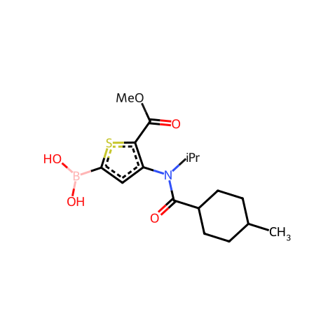 COC(=O)c1sc(B(O)O)cc1N(C(=O)C1CCC(C)CC1)C(C)C